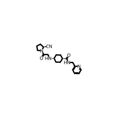 N#C[C@@H]1CCCN1C(=O)CN[C@H]1CC[C@H](C(=O)NCc2ccccn2)CC1